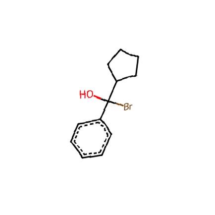 OC(Br)(c1ccccc1)C1CCCC1